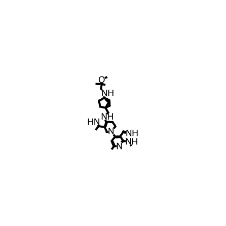 CNc1nc(C)cc(N2CCC(NCC34CCC(NCC(C)(C)OC)(CC3)C4)=C(C(C)=N)C2)c1C=N